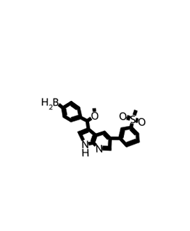 Bc1ccc(C(OC)c2c[nH]c3ncc(-c4cccc(S(C)(=O)=O)c4)cc23)cc1